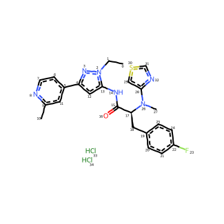 CCn1nc(-c2ccnc(C)c2)cc1NC(=O)[C@H](Cc1ccc(F)cc1)N(C)c1cscn1.Cl.Cl